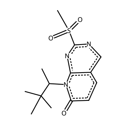 CC(n1c(=O)ccc2cnc(S(C)(=O)=O)nc21)C(C)(C)C